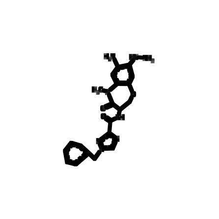 CN1C(=O)C(NC(=O)c2ncn(Cc3ccccc3)n2)COc2cc(NN)c(N)cc21